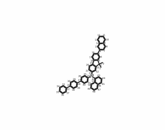 CC1(C)c2cc(-c3ccc4ccccc4c3)ccc2-c2ccc(N(c3ccc(-c4ccc(-c5ccccc5)cc4)cc3)c3cccc4ccccc34)cc21